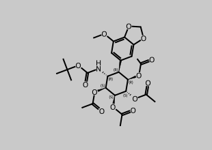 COc1cc([C@@H]2[C@@H](NC(=O)OC(C)(C)C)[C@H](OC(C)=O)[C@H](OC(C)=O)[C@@H](OC(C)=O)[C@@H]2OC(C)=O)cc2c1OCO2